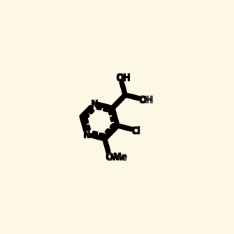 COc1ncnc(C(O)O)c1Cl